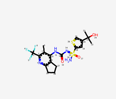 Cc1c(C(F)(F)F)nc2c(c1NC(=O)N=S(N)(=O)c1cc(C(C)(C)O)cs1)CCC2